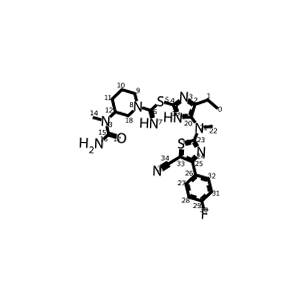 CCc1nc(SC(=N)N2CCCC(N(C)C(N)=O)C2)[nH]c1N(C)c1nc(-c2ccc(F)cc2)c(C#N)s1